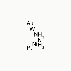 N.N.[Au].[Ni].[Pt].[W]